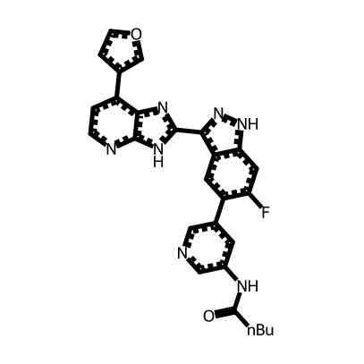 CCCCC(=O)Nc1cncc(-c2cc3c(-c4nc5c(-c6ccoc6)ccnc5[nH]4)n[nH]c3cc2F)c1